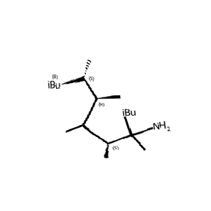 CCC(C)C(C)(N)[C@@H](C)C(C)[C@H](C)[C@@H](C)[C@H](C)CC